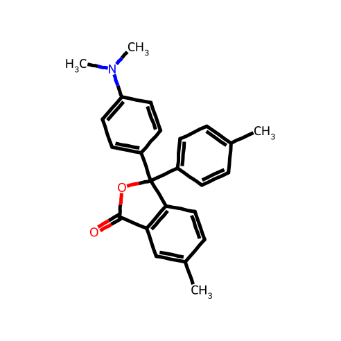 Cc1ccc(C2(c3ccc(N(C)C)cc3)OC(=O)c3cc(C)ccc32)cc1